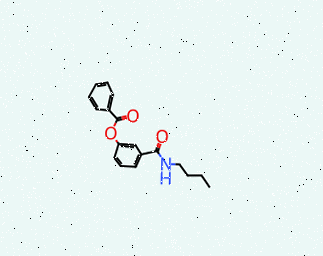 CCCCNC(=O)c1cccc(OC(=O)c2ccccc2)c1